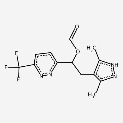 Cc1n[nH]c(C)c1CC(OC=O)c1ccc(C(F)(F)F)nn1